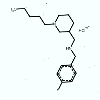 CCCCCN1CCCC(CNCc2ccc(F)cc2)C1.Cl.Cl